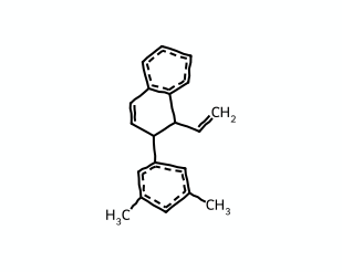 C=CC1c2ccccc2C=CC1c1cc(C)cc(C)c1